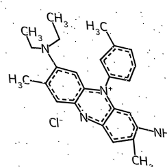 CCN(CC)c1cc2c(cc1C)nc1cc(C)c(N)cc1[n+]2-c1cccc(C)c1.[Cl-]